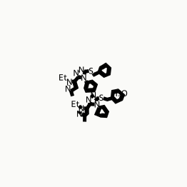 CCn1nc(C)cc1-c1nnc(SCc2ccccc2)n1-c1ccccc1.CCn1nc(C)cc1-c1nnc(SCc2ccccc2)n1-c1ccccc1.O